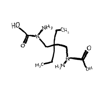 CCC(CC)(CN(N)C(=O)O)CN(N)C(=O)O